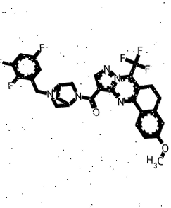 COc1ccc2c(c1)CCc1c-2nc2c(C(=O)N3CC4CC3CN4Cc3cc(F)cc(F)c3F)cnn2c1C(F)(F)F